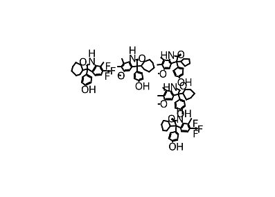 COc1cc2c(c(C)c1C)NC(=O)C2(c1ccc(O)cc1)C1CCCC1.COc1cc2c(c(C)c1C)NC(=O)C2(c1ccc(O)cc1)C1CCCCC1.COc1cc2c(c(C)c1C)NC(=O)C2(c1ccc(O)cc1)C1CCCCCC1.Cc1c(C(F)(F)F)ccc2c1NC(=O)C2(c1ccc(O)cc1)C1CCCCC1.Cc1c(C(F)(F)F)ccc2c1NC(=O)C2(c1ccc(O)cc1)C1CCCCCC1